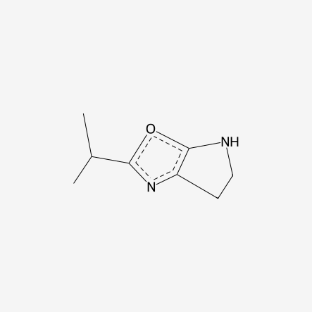 CC(C)c1nc2c(o1)NCC2